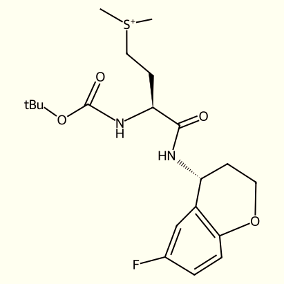 C[S+](C)CC[C@H](NC(=O)OC(C)(C)C)C(=O)N[C@@H]1CCOc2ccc(F)cc21